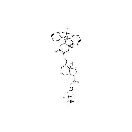 C=C1CC([Si](c2ccccc2)(c2ccccc2)C(C)(C)C)C(=O)CC1=CC=C1CCC[C@]2(C)[C@@H](C(=C)COCC(C)(C)O)CC[C@@H]12